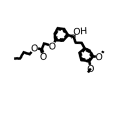 CCCCOC(=O)COc1cccc([C@H](O)CCc2ccc(OC)c(OC)c2)c1